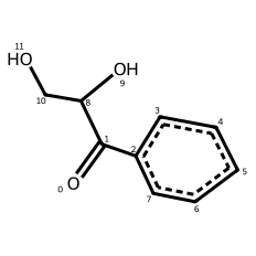 O=C(c1ccccc1)C(O)CO